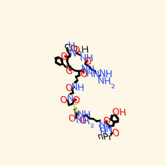 CCCC(=O)NC(Cc1ccc(O)cc1)C(=O)NCCCCCC(=O)N[C@@H](CSC1CC(=O)N(CCC(=O)NCCCCC2CC(=O)[C@@H](Cc3ccccc3)CC(=O)C(CC(=O)O)NC(=O)CNC(=O)C(CCCNC(=N)N)NC2=O)C1=O)C(N)=O